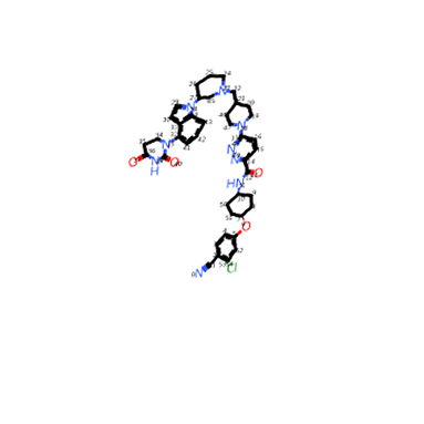 N#Cc1ccc(O[C@H]2CC[C@H](NC(=O)c3ccc(N4CCC(CN5CCCC(n6ccc7c(N8CCC(=O)NC8=O)cccc76)C5)CC4)nn3)CC2)cc1Cl